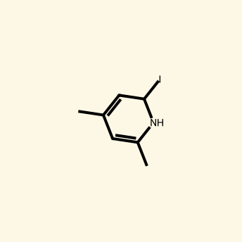 CC1=CC(I)NC(C)=C1